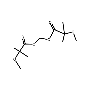 COC(C)(C)C(=O)OCOC(=O)C(C)(C)OC